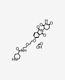 O=C1CCC(N2C(=O)c3ccc(OCCOCCNC(=O)C4CCNCC4)cc3C2=O)C(=O)N1.O=CO